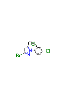 Cc1cc(Br)nn1-c1ccc(Cl)cc1Cl